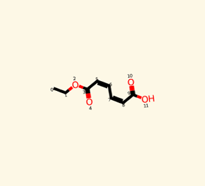 CCOC(=O)/C=C\C=C/C(=O)O